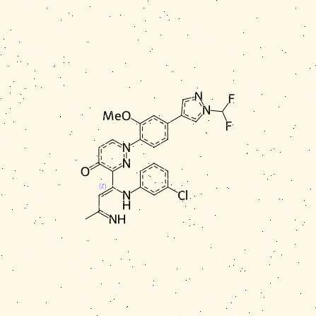 COc1cc(-c2cnn(C(F)F)c2)ccc1-n1ccc(=O)c(/C(=C/C(C)=N)Nc2cccc(Cl)c2)n1